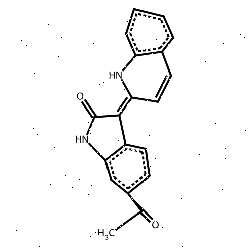 CC(=O)c1ccc2c(c1)NC(=O)C2=C1C=Cc2ccccc2N1